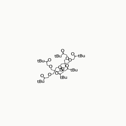 CC(C)(C)C(=O)COCC(COCC(=O)C(C)(C)C)(COCC(=O)C(C)(C)C)COCC(COCC(=O)C(C)(C)C)(COCC(=O)C(C)(C)C)COCC(=O)C(C)(C)C